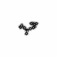 c1ccc(-c2nc(-c3ccc(-c4ccc5oc6c7ccccc7c7nc8ccccc8n7c6c5c4)cc3)cc(-c3ccc(-c4cncc5ccccc45)cc3)n2)cc1